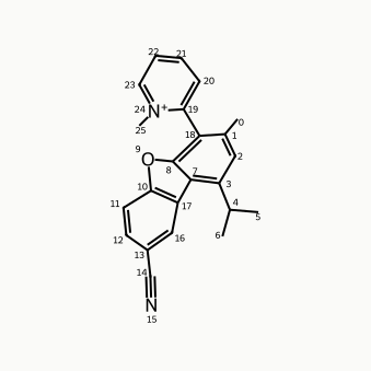 Cc1cc(C(C)C)c2c(oc3ccc(C#N)cc32)c1-c1cccc[n+]1C